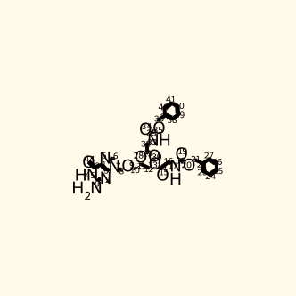 Nc1nc2c(ncn2COC[C@@H](COC(=O)CNC(=O)OCc2ccccc2)OC(=O)CNC(=O)OCc2ccccc2)c(=O)[nH]1